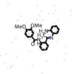 COc1ccc(C(=O)Nc2ccccc2/C(C)=N/c2ccccc2N)cc1OC